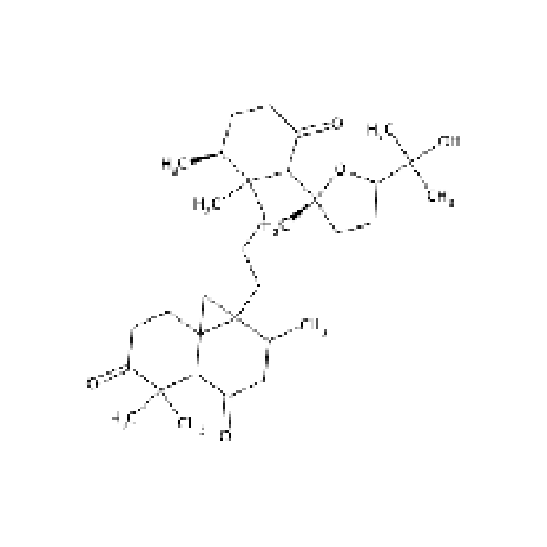 CC1CC(=O)C2C(C)(C)C(=O)CCC23CC13CCCC1(C)C([C@@]2(C)CCC(C(C)(C)O)O2)C(=O)CC[C@@H]1C